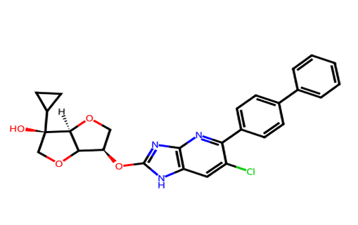 O[C@]1(C2CC2)COC2[C@H](Oc3nc4nc(-c5ccc(-c6ccccc6)cc5)c(Cl)cc4[nH]3)CO[C@@H]21